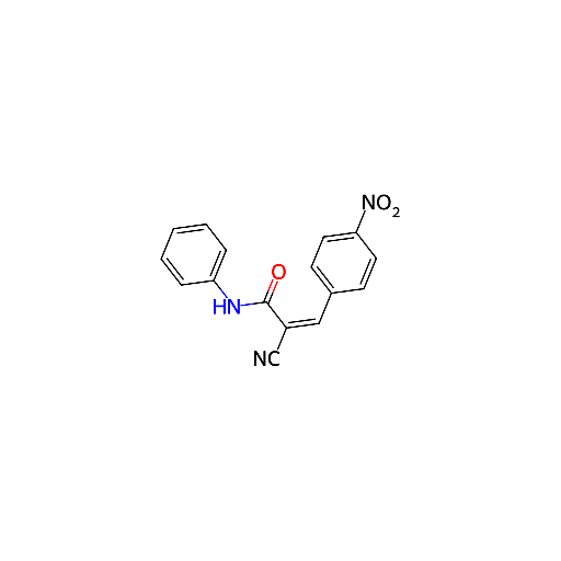 N#CC(=Cc1ccc([N+](=O)[O-])cc1)C(=O)Nc1ccccc1